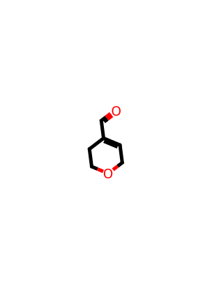 O=CC1=CCOCC1